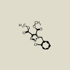 COC(=O)c1nnn(Cc2ccccc2Cl)c1C(=O)OC